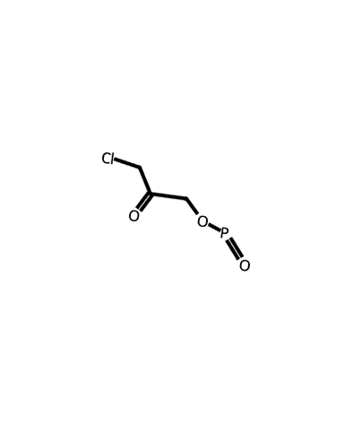 O=POCC(=O)CCl